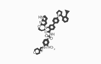 O=C(NS(=O)(=O)c1ccc(NCC2(F)CCOCC2)c([N+](=O)[O-])c1)c1ccc(-c2ccc(N3CCCC3c3ccccc3C3CC3)cc2)cc1N1CCCOc2nc3[nH]ccc3cc21